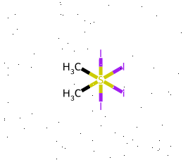 CS(C)(I)(I)(I)I